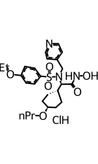 CCCO[C@H]1CC[C@H]([C@H](C(=O)NO)N(Cc2ccncc2)S(=O)(=O)c2ccc(OCC)cc2)CC1.Cl